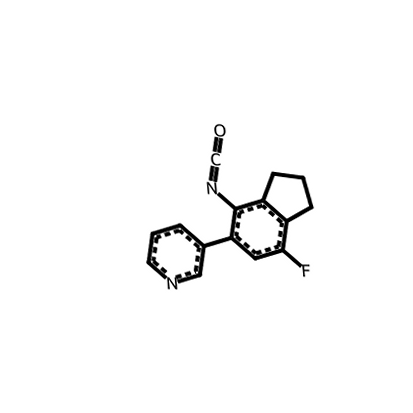 O=C=Nc1c(-c2cccnc2)cc(F)c2c1CCC2